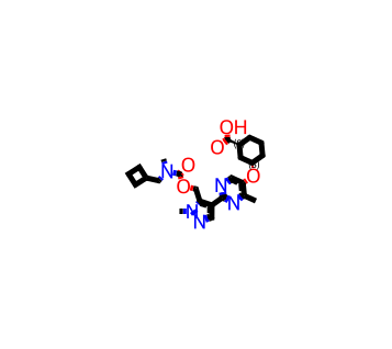 Cc1nc(-c2cnn(C)c2COC(=O)N(C)CC2CCC2)ncc1O[C@H]1CCC[C@H](C(=O)O)C1